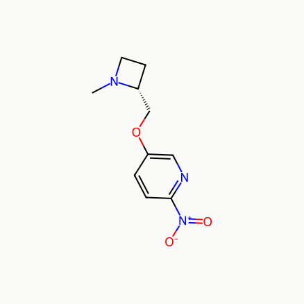 CN1CC[C@@H]1COc1ccc([N+](=O)[O-])nc1